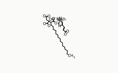 CCCCCCCCCCCCCCCCC(C(=O)[O-])C(O)(CC(=O)[O-])C(=O)[O-].O=C([O-])C=Cc1c[nH]cn1.[Mn+2].[Mn+2]